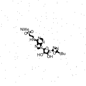 CNS(=O)(=O)CCNc1ncnc2c1ncn2[C@@H]1O[C@H](c2nnc(C(C)(C)C)o2)[C@@H](O)[C@@H]1O